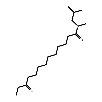 CCC(=O)CCCCCCCCCC(=O)N(C)CC(C)C